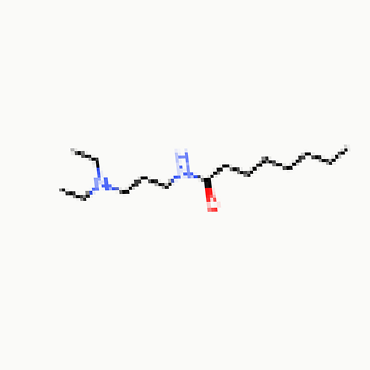 CCCCCCCC(=O)NCCCN(CC)CC